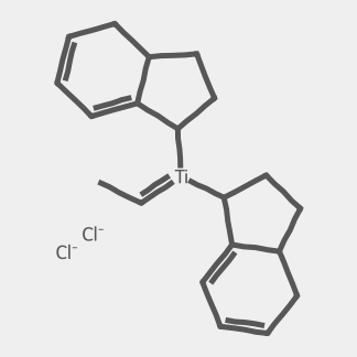 C[CH]=[Ti]([CH]1CCC2CC=CC=C21)[CH]1CCC2CC=CC=C21.[Cl-].[Cl-]